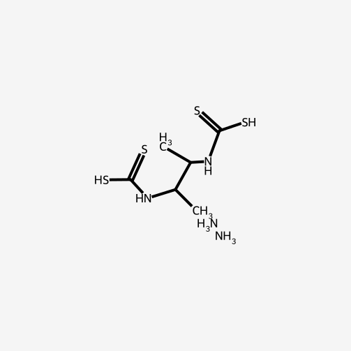 CC(NC(=S)S)C(C)NC(=S)S.N.N